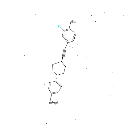 CCCCCCCc1ccc([C@H]2CC[C@H](C#Cc3ccc(CCCC)c(F)c3)CC2)cc1